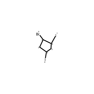 BrC1CC(I)CC1I